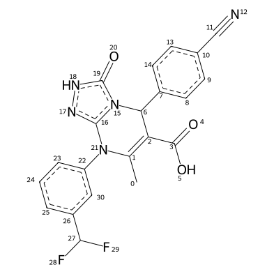 CC1=C(C(=O)O)C(c2ccc(C#N)cc2)n2c(n[nH]c2=O)N1c1cccc(C(F)F)c1